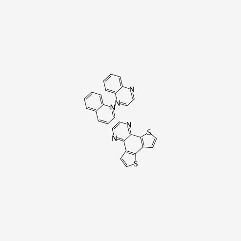 c1ccc2ncccc2c1.c1ccc2nccnc2c1.c1cnc2c(n1)c1ccsc1c1ccsc12